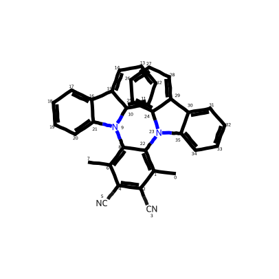 Cc1c(C#N)c(C#N)c(C)c(-n2c3ccccc3c3ccccc32)c1-n1c2ccccc2c2ccccc21